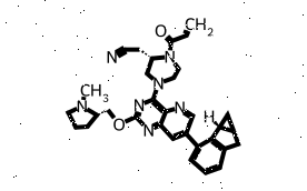 C=CC(=O)N1CCN(c2nc(OC[C@@H]3CCCN3C)nc3cc(-c4cccc5c4[C@@H]4CC4C5)cnc23)C[C@@H]1CC#N